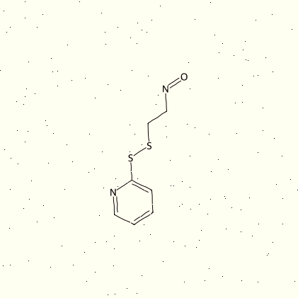 O=NCCSSc1ccccn1